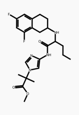 CCCC(NC1CCc2cc(F)cc(F)c2C1)C(=O)Nc1cn(C(C)(C)C(=O)OC)cn1